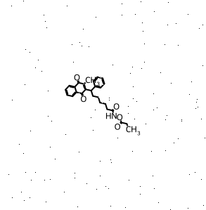 CCC(=O)ONC(=O)CCCCCC(C1=C(C)C(=O)c2ccccc2C1=O)c1ccccc1